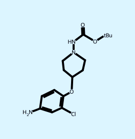 CC(C)(C)OC(=O)NN1CCC(Oc2ccc(N)cc2Cl)CC1